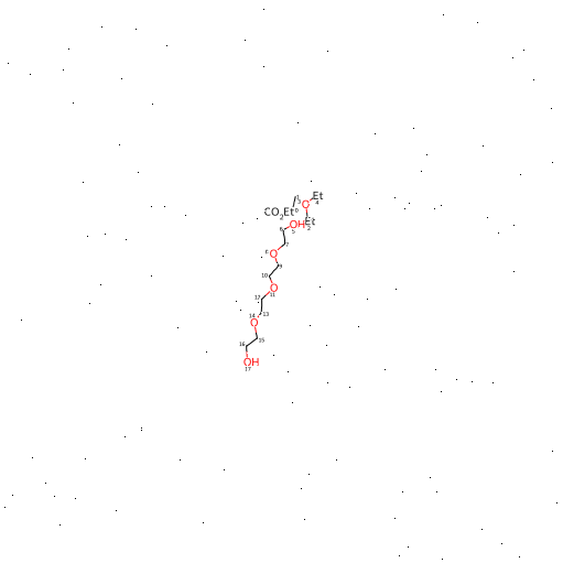 CCOC(C)=O.CCOCC.OCCOCCOCCOCCO